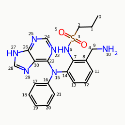 CCCS(=O)(=O)Nc1c(CN)cccc1N(c1ccccc1)c1ncnc2[nH]cnc12